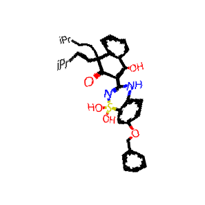 CC(C)CCC1(CCC(C)C)C(=O)C(C2=NS(O)(O)c3cc(OCc4ccccc4)ccc3N2)=C(O)c2ccccc21